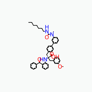 CCCCCCCNC(=O)N(C)c1cccc(-c2ccc(C[C@@](Cc3cccc(OC)c3)(Nc3ccccc3C(=O)c3ccccc3)C(=O)O)cc2)c1